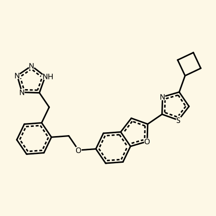 c1ccc(Cc2nnn[nH]2)c(COc2ccc3oc(-c4nc(C5CCC5)cs4)cc3c2)c1